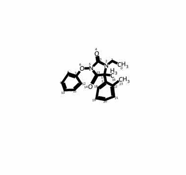 CCN1C(=O)N(Oc2ccccc2)C(=O)C1(C)c1ccccc1C